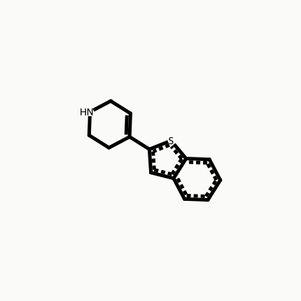 C1=C(c2cc3ccccc3s2)CCNC1